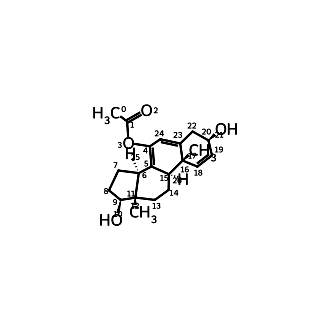 CC(=O)OC1=C2[C@@H]3CC[C@H](O)[C@@]3(C)CC[C@@H]2[C@@]2(C)C=C[C@H](O)CC2=C1